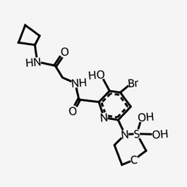 O=C(CNC(=O)c1nc(N2CCCCS2(O)O)cc(Br)c1O)NC1CCC1